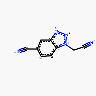 N#CCn1nnc2cc(C#N)ccc21